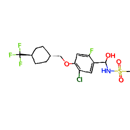 CS(=O)(=O)NC(O)c1cc(Cl)c(OC[C@H]2CC[C@H](C(F)(F)F)CC2)cc1F